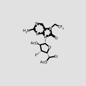 CCC(OC(C)=O)[C@H]1O[C@@H](n2c(=O)n(CC(F)(F)F)c3cnc(N)nc32)[C@H](OC(C)=O)[C@H]1F